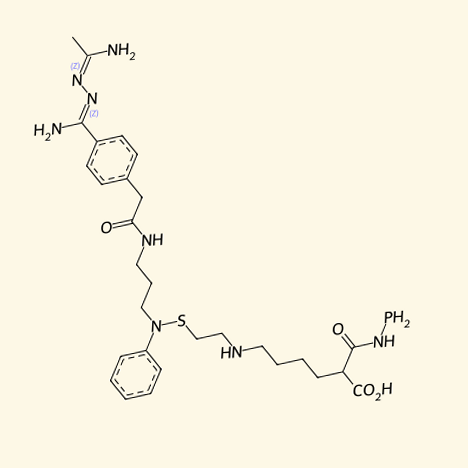 C/C(N)=N/N=C(\N)c1ccc(CC(=O)NCCCN(SCCNCCCCC(C(=O)O)C(=O)NP)c2ccccc2)cc1